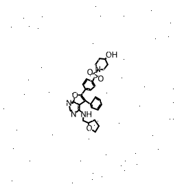 O=S(=O)(c1ccc(-c2oc3ncnc(NCC4CCCO4)c3c2-c2ccccc2)cc1)N1CCC(O)CC1